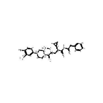 CC[C@H](CC(C(=O)NC(=O)Cc1ccccc1)C1CC1)C(=O)N1CCN(c2ccc(F)c(P)c2)CC1